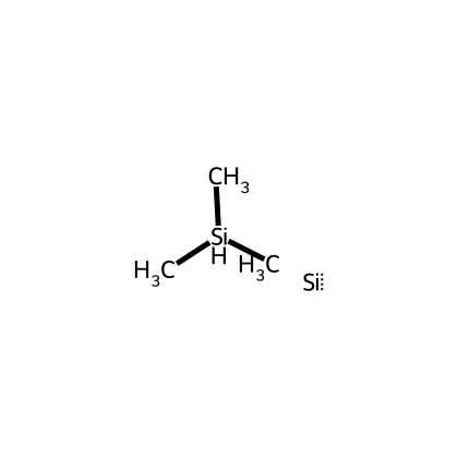 C[SiH](C)C.[Si]